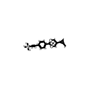 CC1CC1C12COC(c3ccc(C#C[Si](C)(C)C)cc3)(OC1)OC2